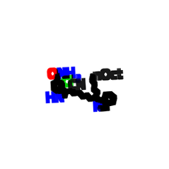 CCCCCCCC/C=C\CCCC(CCCC/C=C(\C#N)c1c[nH]c2ccc(C(N)=O)c(Cl)c12)c1nccc2ccccc12